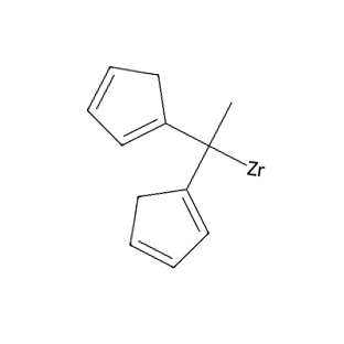 C[C]([Zr])(C1=CC=CC1)C1=CC=CC1